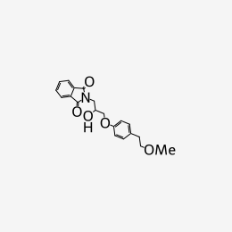 COCCc1ccc(OCC(O)CN2C(=O)c3ccccc3C2=O)cc1